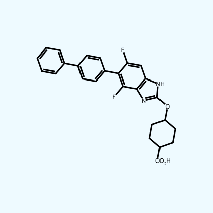 O=C(O)C1CCC(Oc2nc3c(F)c(-c4ccc(-c5ccccc5)cc4)c(F)cc3[nH]2)CC1